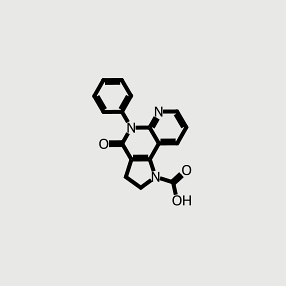 O=C(O)N1CCc2c1c1cccnc1n(-c1ccccc1)c2=O